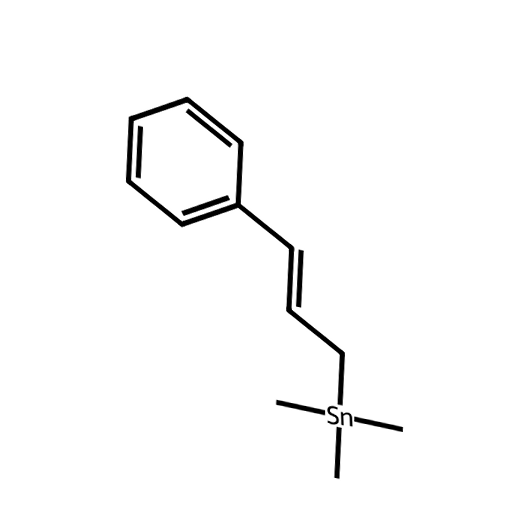 [CH3][Sn]([CH3])([CH3])[CH2]C=Cc1ccccc1